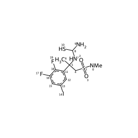 CNS(=O)(=O)CC(C)(NC(N)S)c1cc(I)cc(F)c1F